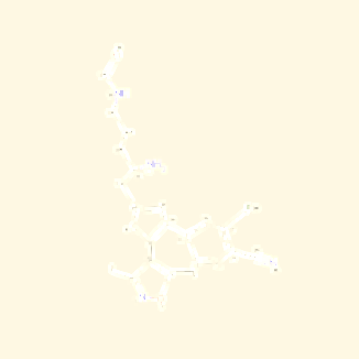 Cc1noc(C)c1-c1sc(CC(N)CCCNC=O)cc1-c1ccc(C#N)c(F)c1